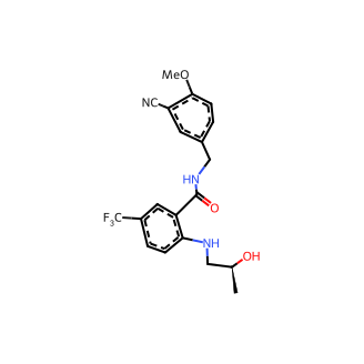 COc1ccc(CNC(=O)c2cc(C(F)(F)F)ccc2NC[C@H](C)O)cc1C#N